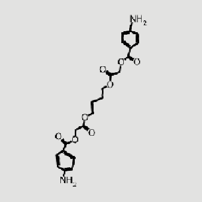 Nc1ccc(C(=O)OCC(=O)OCCCCOC(=O)COC(=O)c2ccc(N)cc2)cc1